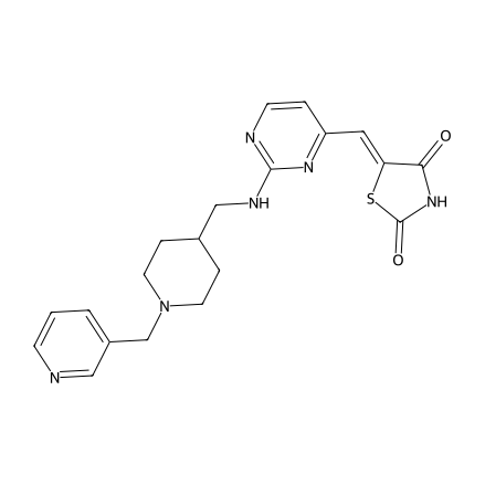 O=C1NC(=O)C(=Cc2ccnc(NCC3CCN(Cc4cccnc4)CC3)n2)S1